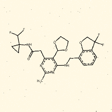 Cc1nc(CC(=O)NC2(C(F)F)CC2)c(C2OCCO2)c(NCc2cccc3c2OCC3(F)F)n1